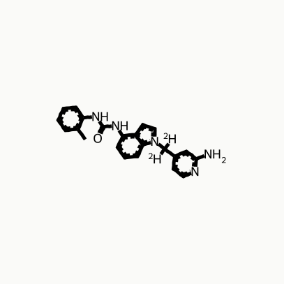 [2H]C([2H])(c1ccnc(N)c1)n1ccc2c(NC(=O)Nc3ccccc3C)cccc21